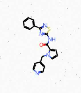 O=C(Nc1nc(-c2ccccc2)ns1)c1cccn1Cc1ccncc1